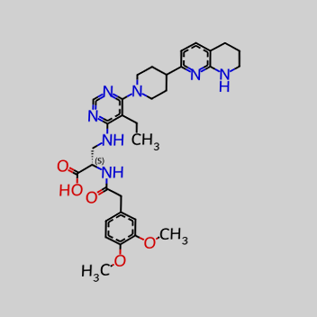 CCc1c(NC[C@H](NC(=O)Cc2ccc(OC)c(OC)c2)C(=O)O)ncnc1N1CCC(c2ccc3c(n2)NCCC3)CC1